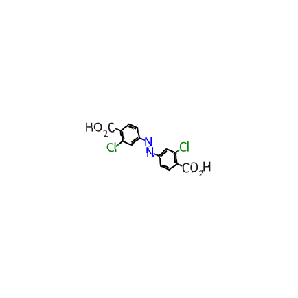 O=C(O)c1ccc(N=Nc2ccc(C(=O)O)c(Cl)c2)cc1Cl